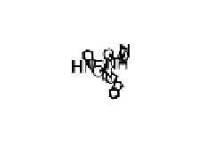 O=C(N[C@H](Cc1c[nH]c2ccccc12)C(=O)N1CCC2(CCc3ccccc32)CC1)C1CN2CCC1CC2